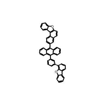 c1cc(-c2c3ccccc3c(-c3ccc4c(ccc5oc6ccccc6c54)c3)c3ccccc23)cc(-c2cccc3c2oc2ccccc23)c1